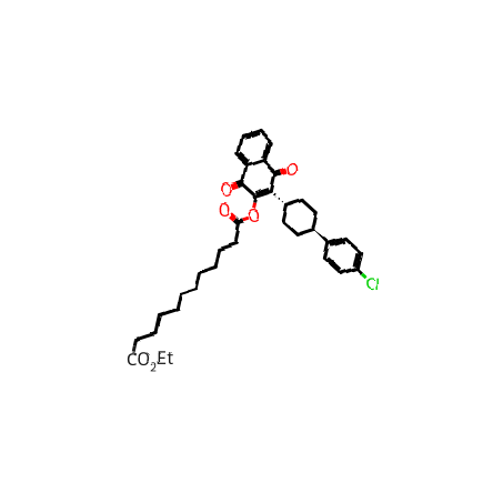 CCOC(=O)CCCCCCCCCCC(=O)OC1=C([C@H]2CC[C@H](c3ccc(Cl)cc3)CC2)C(=O)c2ccccc2C1=O